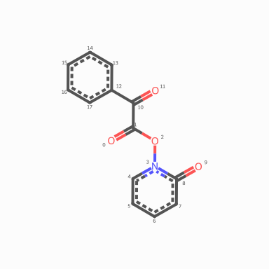 O=C(On1ccccc1=O)C(=O)c1ccccc1